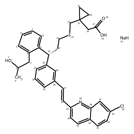 CC(O)Cc1ccccc1[C@H](CCSCC1(CC(=O)O)CC1)c1cccc(C=Cc2ccc3ccc(Cl)cc3n2)c1.[NaH]